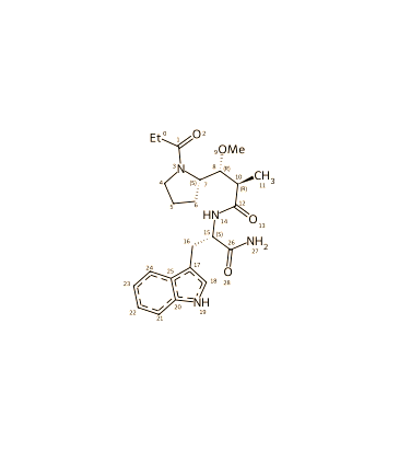 CCC(=O)N1CCC[C@H]1[C@H](OC)[C@@H](C)C(=O)N[C@@H](Cc1c[nH]c2ccccc12)C(N)=O